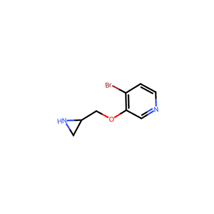 Brc1ccncc1OCC1CN1